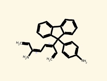 C=C/C(N)=C\C=C(/C=C)C1(c2ccc(N)cc2)c2ccccc2-c2ccccc21